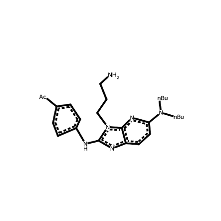 CCCCN(CCCC)c1ccc2nc(Nc3ccc(C(C)=O)cc3)n(CCCN)c2n1